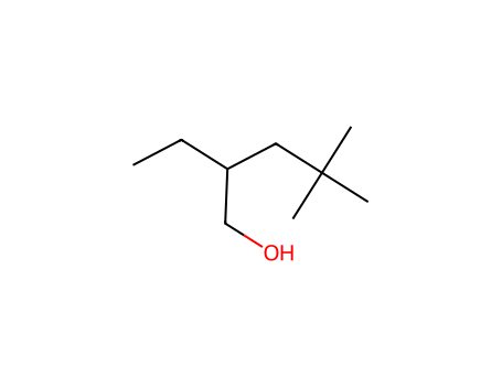 CCC(CO)CC(C)(C)C